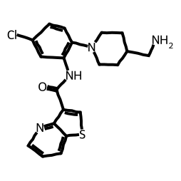 NCC1CCN(c2ccc(Cl)cc2NC(=O)c2csc3cccnc23)CC1